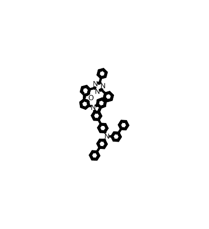 c1ccc(-c2ccc(N(c3ccc(-c4ccc5c(c4)c4ccccc4n5-c4cccc5c4oc4c(-c6nc(-c7ccccc7)nc(-c7ccccc7)n6)cccc45)cc3)c3cccc(-c4ccccc4)c3)cc2)cc1